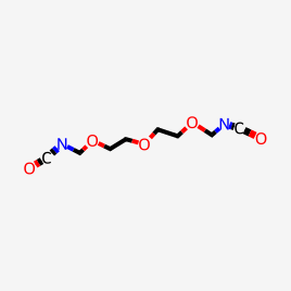 O=C=NCOCCOCCOCN=C=O